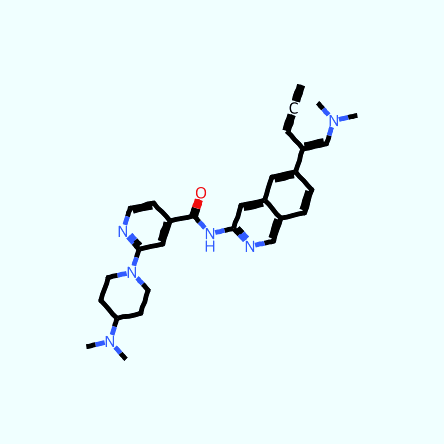 C=C=C/C(=C\N(C)C)c1ccc2cnc(NC(=O)c3ccnc(N4CCC(N(C)C)CC4)c3)cc2c1